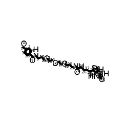 O=Cc1ccc(C(=O)NCCCOCCOCCOCCCNC(=O)CCCCC2SC[C@@H]3NC(=O)N[C@H]23)cc1